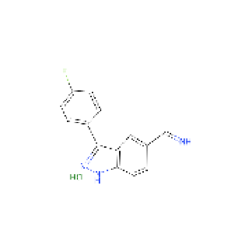 Cl.N=Cc1ccc2[nH]nc(-c3ccc(F)cc3)c2c1